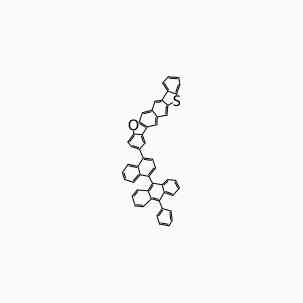 c1ccc(-c2c3ccccc3c(-c3ccc(-c4ccc5oc6cc7cc8c(cc7cc6c5c4)sc4ccccc48)c4ccccc34)c3ccccc23)cc1